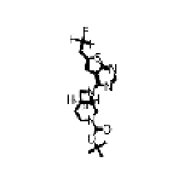 CC(C)(C)OC(=O)N1CC[C@H]2CN(c3ncnc4sc(CC(F)(F)F)cc34)[C@H]2C1